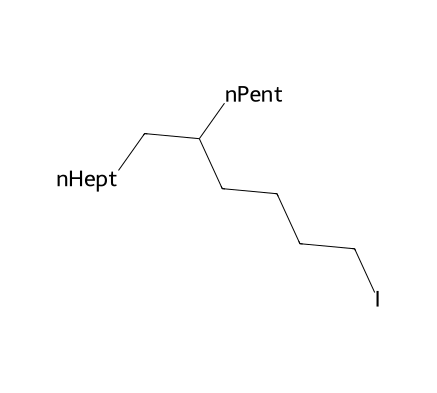 CCCCCCCCC(CCCCC)CCCCI